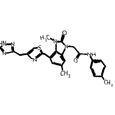 Cc1ccc(NC(=O)Cn2c(=O)n(C)c3c(-c4nc(Cc5nc[nH]n5)cs4)cc(C)cc32)cc1